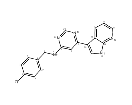 Clc1ccc(CNc2cc(-c3c[nH]c4ncccc34)ncn2)cc1